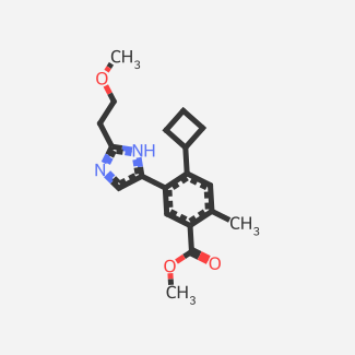 COCCc1ncc(-c2cc(C(=O)OC)c(C)cc2C2CCC2)[nH]1